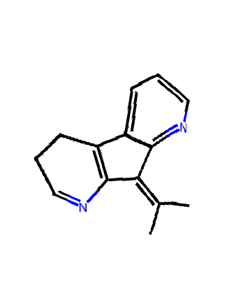 CC(C)=C1C2=C(CCC=N2)c2cccnc21